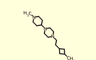 CC1CC(CCN2CCN(C3CCN(C)CC3)CC2)C1